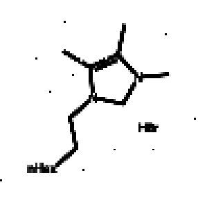 Br.CCCCCCCCN1CN(C)C(C)=C1C